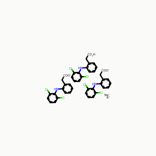 O=C(O)Cc1ccccc1Nc1c(Cl)cccc1Cl.O=C([O-])Cc1ccccc1Nc1c(Cl)cccc1Cl.O=C([O-])Cc1ccccc1Nc1c(Cl)cccc1Cl.[K+].[Na+]